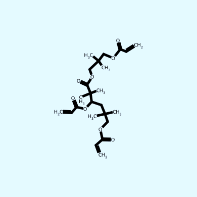 C=CC(=O)OCC(C)(C)COC(=O)C(C)(C)C(CC(C)(C)COC(=O)C=C)OC(=O)C=C